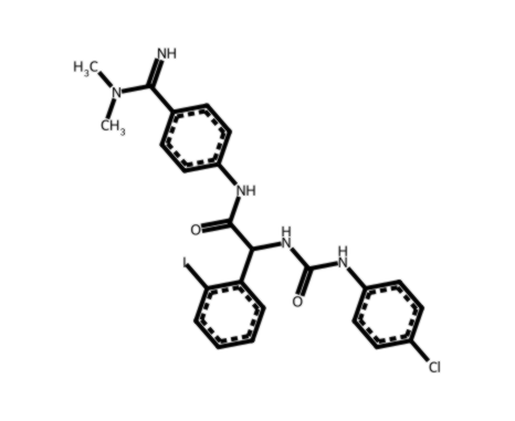 CN(C)C(=N)c1ccc(NC(=O)C(NC(=O)Nc2ccc(Cl)cc2)c2ccccc2I)cc1